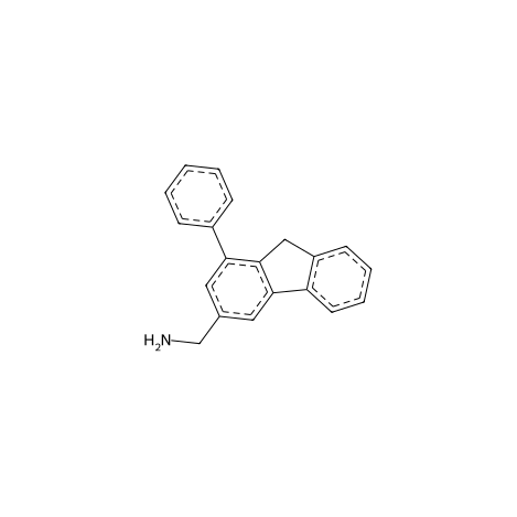 NCc1cc(-c2ccccc2)c2c(c1)-c1ccccc1C2